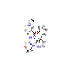 C=C/C(=C\N(C)C(C)C)C(=O)Nc1c(-c2ccccc2)ccnc1N1CCOCC1